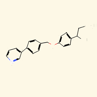 CC(CC(=O)O)c1ccc(OCc2ccc(-c3cccnc3)cc2)cc1